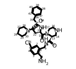 NCc1ccc(Cl)cc1CNC(=O)[C@@H]1CNCCN1C(=O)[C@@H](CC(=O)N1CCCCC1)NS(=O)(=O)Cc1ccccc1